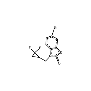 O=c1sc2cc(Br)ccc2n1CC1CC1(F)F